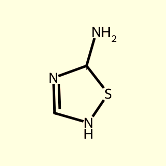 N[C]1N=CNS1